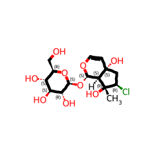 C[C@]1(O)[C@H](Cl)C[C@]2(O)C=CO[C@@H](O[C@@H]3O[C@H](CO)[C@@H](O)[C@H](O)[C@H]3O)[C@H]12